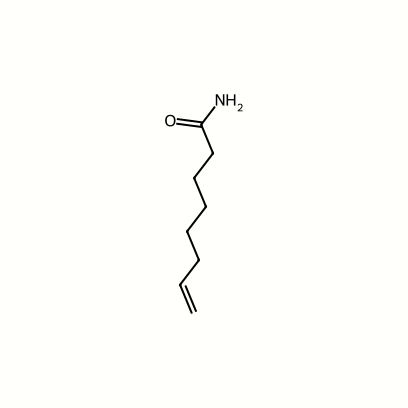 C=CCCCCCC(N)=O